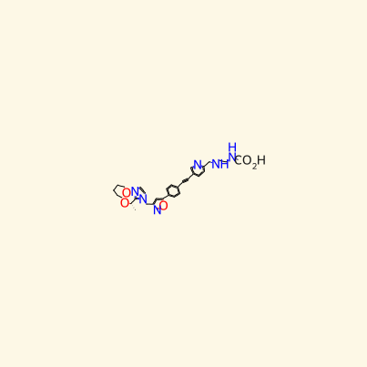 C[C@H](OC1CCCCO1)c1nccn1Cc1cc(-c2ccc(C#Cc3ccc(CNCCNC(=O)O)nc3)cc2)on1